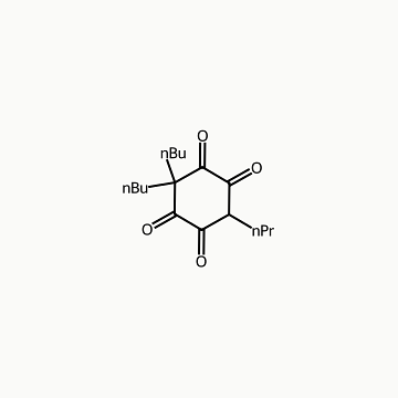 CCCCC1(CCCC)C(=O)C(=O)C(CCC)C(=O)C1=O